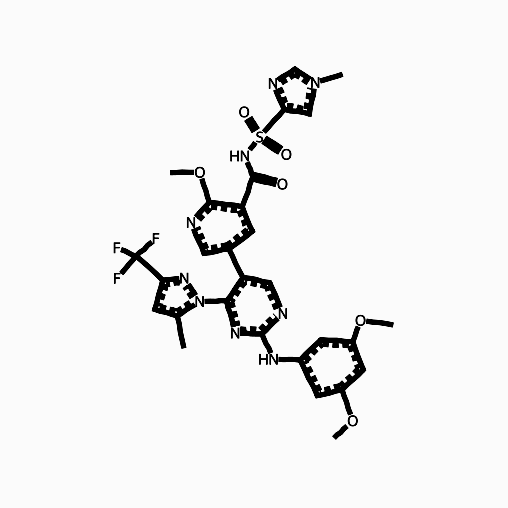 COc1cc(Nc2ncc(-c3cnc(OC)c(C(=O)NS(=O)(=O)c4cn(C)cn4)c3)c(-n3nc(C(F)(F)F)cc3C)n2)cc(OC)c1